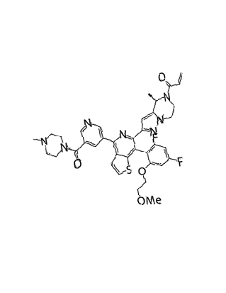 C=CC(=O)N1CCn2nc(-c3nc(-c4cncc(C(=O)N5CCN(C)CC5)c4)c4ccsc4c3-c3c(F)cc(F)cc3OCCOC)cc2[C@H]1C